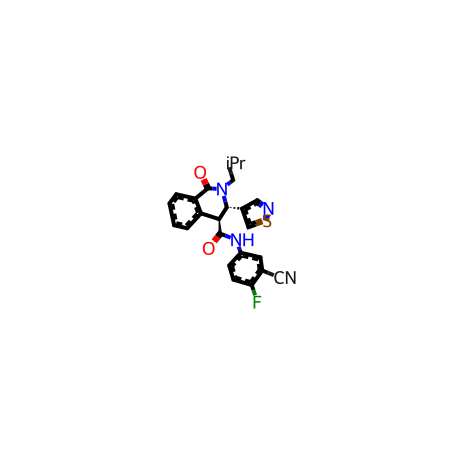 CC(C)CN1C(=O)c2ccccc2[C@H](C(=O)Nc2ccc(F)c(C#N)c2)[C@H]1c1cnsc1